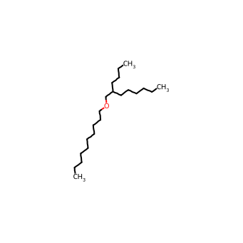 CCCCCCCCCCOCC(CCCC)CCCCCC